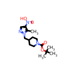 Cc1c([N+](=O)O)cnn1CC1CCN(C(=O)OC(C)(C)C)CC1